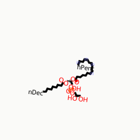 CCCCC/C=C\C/C=C\C/C=C\C/C=C\CCCCCC(=O)O[C@H](COC(=O)CCCCCCCCCCCCCCCCCC)COP(=O)(O)OC[C@@H](O)CO